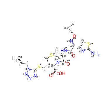 C=CCn1nnnc1SCC1=C(C(=O)O)N2C(=O)[C@@H](NC(=O)C(=NOC3CC3)c3csc(N)n3)[C@@H]2SC1